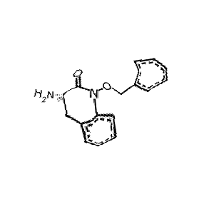 N[C@H]1Cc2ccccc2N(OCc2ccccc2)C1=O